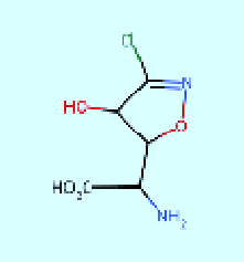 NC(C(=O)O)C1ON=C(Cl)C1O